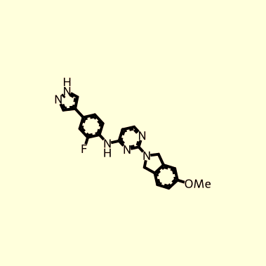 COc1ccc2c(c1)CN(c1nccc(Nc3ccc(-c4cn[nH]c4)cc3F)n1)C2